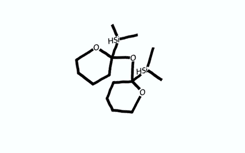 C[SiH](C)C1(OC2([SiH](C)C)CCCCO2)CCCCO1